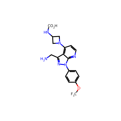 NCc1nn(-c2ccc(OC(F)(F)F)cc2)c2nccc(N3CC(NC(=O)O)C3)c12